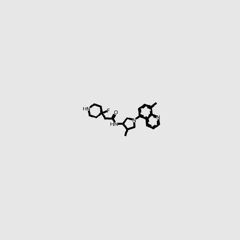 Cc1ccc(N2CC(C)C(NC(=O)CC3(F)CCNCC3)C2)c2cccnc12